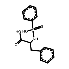 O=C(O)C(Cc1ccccc1)NP(O)(=S)c1ccccc1